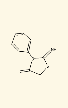 C=C1CSC(=N)N1c1ccccc1